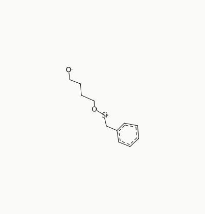 [O]CCCCO[Si]Cc1ccccc1